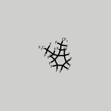 FC(F)(F)C(F)(F)C(F)(F)C1(C(F)(F)C(F)(F)C(F)(F)F)C(F)(F)C(F)(F)C(F)(F)C(F)(F)C1(F)F